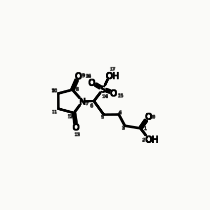 O=C(O)CCCC(N1C(=O)CCC1=O)S(=O)(=O)O